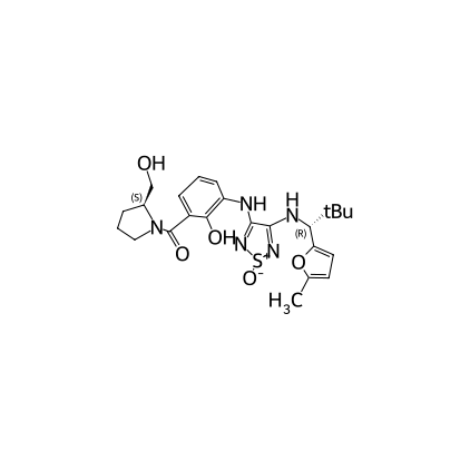 Cc1ccc([C@H](Nc2n[s+]([O-])nc2Nc2cccc(C(=O)N3CCC[C@H]3CO)c2O)C(C)(C)C)o1